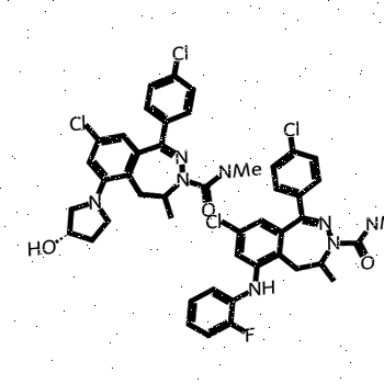 CNC(=O)N1N=C(c2ccc(Cl)cc2)c2cc(Cl)cc(N3CC[C@H](O)C3)c2CC1C.CNC(=O)N1N=C(c2ccc(Cl)cc2)c2cc(Cl)cc(Nc3ccccc3F)c2CC1C